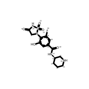 O=C1CN(c2c(O)cc(C(=O)N[C@@H]3CCCNC3)cc2F)S(=O)(=O)N1